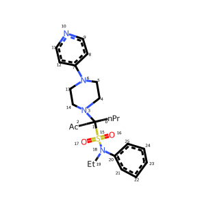 CCCC(C(C)=O)(N1CCN(c2ccncc2)CC1)S(=O)(=O)N(CC)c1ccccc1